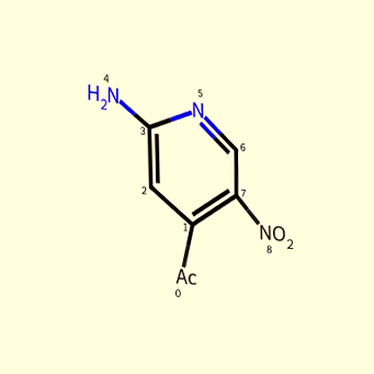 CC(=O)c1cc(N)ncc1[N+](=O)[O-]